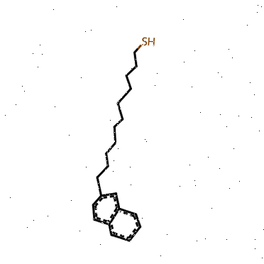 SCCCCCCCCCCCc1ccc2ccccc2c1